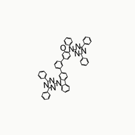 c1ccc(-c2nc(-c3ccccc3)nc(N3c4ccccc4Oc4cc(-c5cccc(-c6ccc7c8ccccc8n(-c8nc(-c9ccccc9)nc(-c9ccccc9)n8)c7c6)c5)ccc43)n2)cc1